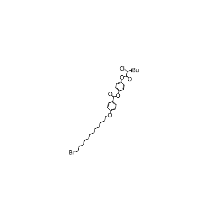 CCC(C)C(Cl)C(=O)Oc1ccc(OC(=O)c2ccc(OCCCCCCCCCCCCBr)cc2)cc1